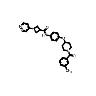 O=C(Nc1ccc(OC2CCN(C(=O)c3cccc(C(F)(F)F)c3)CC2)cc1)C1CN(c2ccnnc2)C1